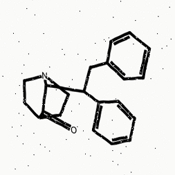 O=C1C2CCN(CC2)C1C(Cc1ccccc1)c1ccccc1